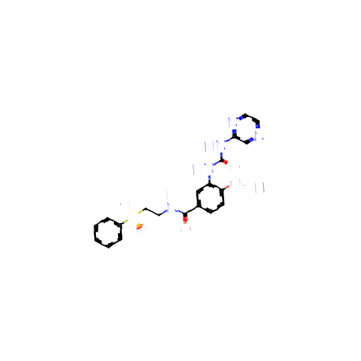 COc1ccc(C(=O)NCCS(=O)(=O)c2ccccc2)cc1NC(=O)Nc1cnccn1